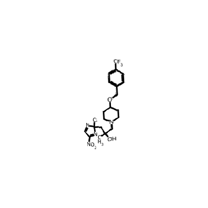 CC(O)(CN1CCC(OCc2ccc(C(F)(F)F)cc2)CC1)CC1(Cl)N=CC([N+](=O)[O-])=N1